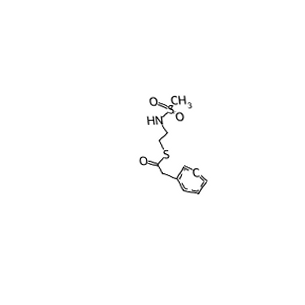 CS(=O)(=O)NCCSC(=O)Cc1ccccc1